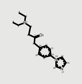 CCN(CC)CCC(=O)Cc1ccc(-n2ccnc2)cc1